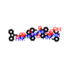 CC(C)[C@H](NC(=O)[C@H](Cc1ccccc1)NC(=O)c1ccccc1-c1ccccc1C(=O)N[C@@H](Cc1ccccc1)C(=O)Nc1ccccc1-c1ccccc1NC(=O)[C@H](C)NC(=O)OCC1c2ccccc2-c2ccccc21)C(=O)O